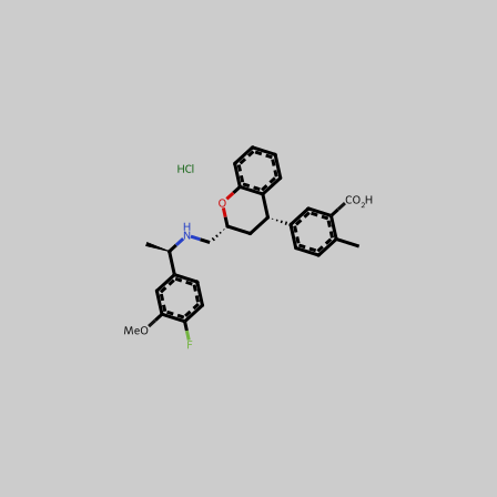 COc1cc([C@@H](C)NC[C@H]2C[C@@H](c3ccc(C)c(C(=O)O)c3)c3ccccc3O2)ccc1F.Cl